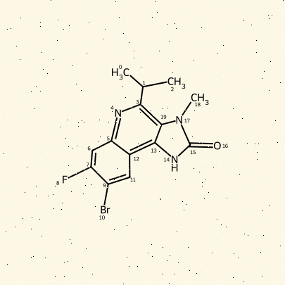 CC(C)c1nc2cc(F)c(Br)cc2c2[nH]c(=O)n(C)c12